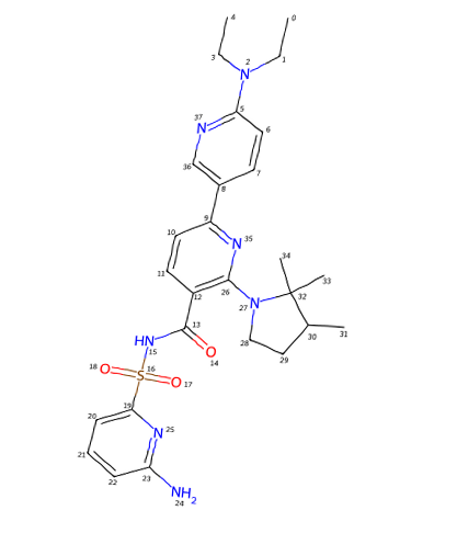 CCN(CC)c1ccc(-c2ccc(C(=O)NS(=O)(=O)c3cccc(N)n3)c(N3CCC(C)C3(C)C)n2)cn1